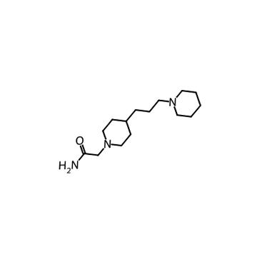 NC(=O)CN1CCC(CCCN2CCCCC2)CC1